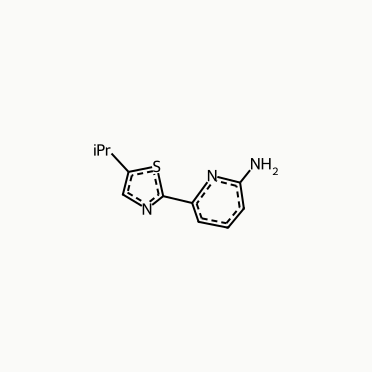 CC(C)c1cnc(-c2cccc(N)n2)s1